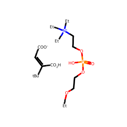 CC(C)(C)/C(=C/C(=O)[O-])C(=O)O.CCOCCOP(=O)(O)OCC[N+](CC)(CC)CC